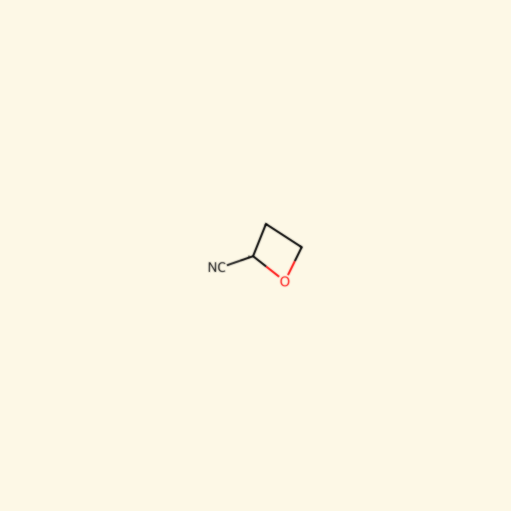 N#C[C]1CCO1